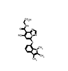 Cc1c(C)n(C)c2c(Sc3cc(O)c(C(=O)NCC(=O)O)c4ncnn34)cccc12